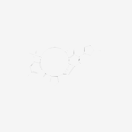 CCC1c2cc3nc(N4CC[C@H](N)C4)c(C)c(n3n2)N(C)CCCCN(S(C)(=O)=O)c2ccc(C)cc2C(=O)N1C